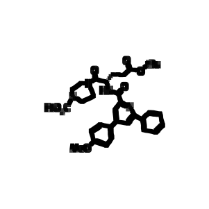 CCOC(=O)N1CCN(C(=O)[C@H](CCC(=O)OC(C)(C)C)NC(=O)c2cc(-c3ccc(OC)cc3)cc(-c3ccccc3)n2)CC1